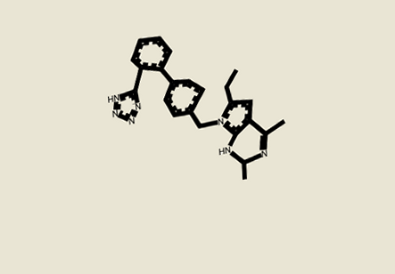 CCc1cc2c(n1Cc1ccc(-c3ccccc3-c3nnn[nH]3)cc1)NC(C)N=C2C